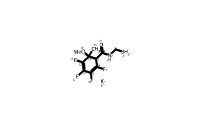 BCNC(=O)C1C(F)=C(F)C(F)=C(F)C1(C)OC.[K]